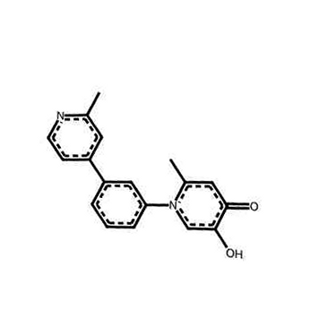 Cc1cc(-c2cccc(-n3cc(O)c(=O)cc3C)c2)ccn1